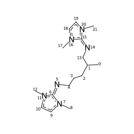 CC(CCCN=c1n(C)ccn1C)CN=c1n(C)ccn1C